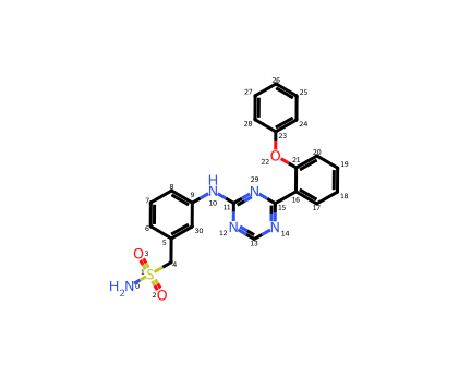 NS(=O)(=O)Cc1cccc(Nc2ncnc(-c3ccccc3Oc3ccccc3)n2)c1